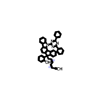 C#C/C=C\C=C/CC1(c2ccccc2O)c2ccccc2-c2c1ccc1c3ccccc3n(-c3nc(-c4ccccc4)nc(-c4ccccc4)n3)c21